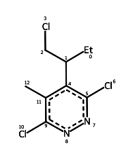 CCC(CCl)c1c(Cl)nnc(Cl)c1C